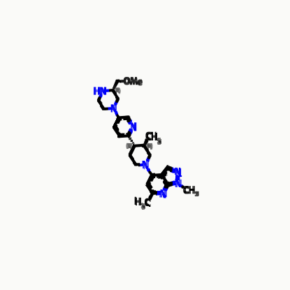 COC[C@H]1CN(c2ccc([C@H]3CCN(c4cc(C)nc5c4cnn5C)C[C@@H]3C)nc2)CCN1